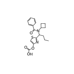 CCCC(c1nc(OC(=O)O)cs1)N(C(=O)c1ccccc1)C1CCC1